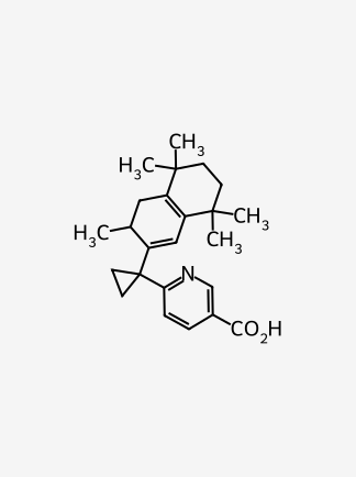 CC1CC2=C(C=C1C1(c3ccc(C(=O)O)cn3)CC1)C(C)(C)CCC2(C)C